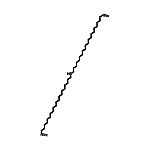 CCCCCCCCCCCCCCCCCCCCCCCCCCCCCCNCCCCCCCCCCCCCCCCCCCCCCCCCCCCCC